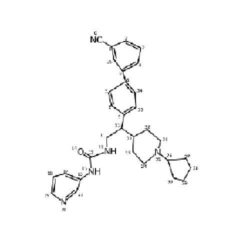 N#Cc1cccc(-c2ccc(C(CNC(=O)Nc3cccnc3)C3CCN(C4CCCC4)CC3)cc2)c1